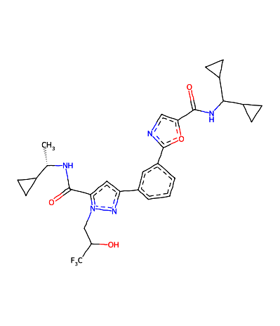 C[C@H](NC(=O)c1cc(-c2cccc(-c3ncc(C(=O)NC(C4CC4)C4CC4)o3)c2)nn1CC(O)C(F)(F)F)C1CC1